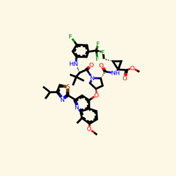 CC[C@@H]1C[C@]1(NC(=O)[C@@H]1C[C@@H](Oc2cc(-c3nc(C(C)C)cs3)nc3c(C)c(OC)ccc23)CN1C(=O)[C@@H](Nc1cc(F)cc(C(F)(F)F)c1)C(C)(C)C)C(=O)OC